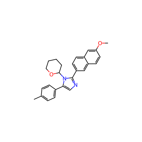 COc1ccc2cc(-c3ncc(-c4ccc(C)cc4)n3C3CCCCO3)ccc2c1